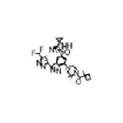 C[C@@H]1CN(c2cc(S(=O)(=O)NC3(C#N)CC3)cc3c(-c4nnc(C(F)F)s4)nn(C)c23)CCN1C(=O)C1(C)CCC1